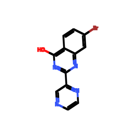 Oc1nc(-c2cnccn2)nc2cc(Br)ccc12